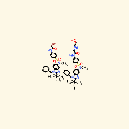 CN(c1ccc2c(c1)nc(C(C)(C)C)n2CC1CCCCC1)S(=O)(=O)c1ccc(NC(=O)CBr)cc1.CN(c1ccc2c(c1)nc(C(C)(C)C)n2CC1CCCCC1)S(=O)(=O)c1ccc(NC(=O)CNCCO)cc1